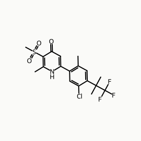 Cc1cc(C(C)(C)C(F)(F)F)c(Cl)cc1-c1cc(=O)c(S(C)(=O)=O)c(C)[nH]1